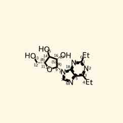 CCc1nc(CC)c2ncn([C@@H]3O[C@H](CO)C(O)[C@@H]3O)c2n1